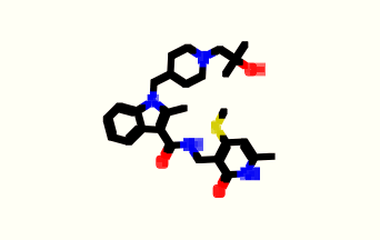 CSc1cc(C)[nH]c(=O)c1CNC(=O)c1c(C)n(CC2CCN(CC(C)(C)O)CC2)c2ccccc12